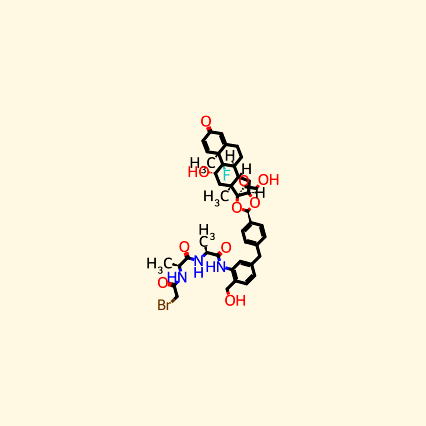 C[C@H](NC(=O)CBr)C(=O)N[C@@H](C)C(=O)Nc1cc(Cc2ccc([C@@H]3O[C@@H]4C[C@H]5[C@@H]6CCC7=CC(=O)C=C[C@]7(C)[C@@]6(F)[C@@H](O)C[C@]5(C)[C@]4(C(=O)CO)O3)cc2)ccc1CO